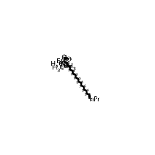 CCCC=CCCCCCCCCCCCCCCCCC(CC)(P(=O)=O)[N+](C)(C)C